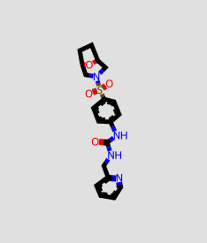 O=C(NCc1ccccn1)Nc1ccc(S(=O)(=O)N2CC3CCC(C2)O3)cc1